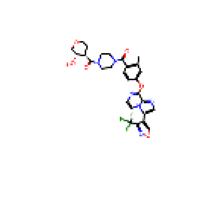 Cc1cc(Oc2nccn3c(-c4conc4C(F)(F)F)cnc23)ccc1C(=O)N1CCN(C(=O)[C@@H]2CCOC[C@H]2O)CC1